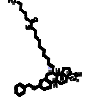 CCCCCC(=O)NCCCCCCC/C=C/[C@@H]1Cc2cc(OCc3ccccc3)ccc2[C@H]2CC[C@]3(C)[C@@H](O)CC[C@H]3[C@H]12